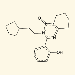 O=c1c2c(nc(-c3ccccc3O)n1CCC1CCCC1)CCCC2